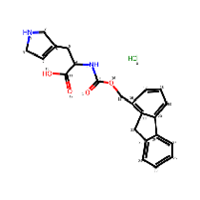 Cl.O=C(NC(CC1=CCNC1)C(=O)O)OCc1cccc2c1Cc1ccccc1-2